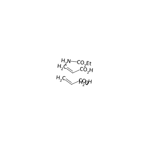 C=CC(=O)O.C=CC(=O)O.CCOC(N)=O.O